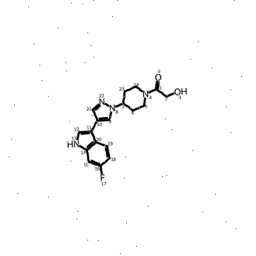 O=C(CO)N1CCC(n2cc(-c3c[nH]c4cc(F)ccc34)cn2)CC1